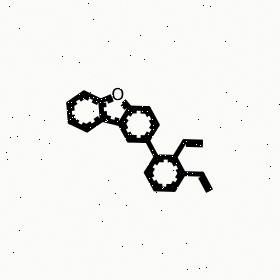 C=Cc1cccc(-c2ccc3oc4ccccc4c3c2)c1C=C